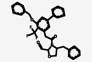 O=CC1OCC(Cc2ccccc2)N1C(=O)Cc1cc(-c2ccccc2)cc(OCc2ccccc2)c1C(F)(F)F